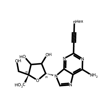 CCCCCCC#Cc1nc(N)c2ncn([C@@H]3O[C@@](CO)(C(=O)O)C(O)C3O)c2n1